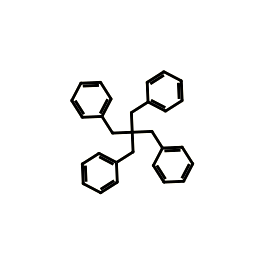 c1ccc(CC(Cc2ccccc2)(Cc2ccccc2)Cc2ccccc2)cc1